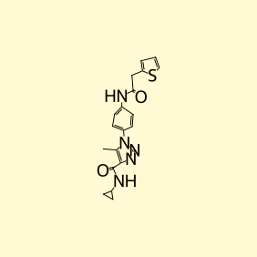 Cc1c(C(=O)NC2CC2)nnn1-c1ccc(NC(=O)Cc2cccs2)cc1